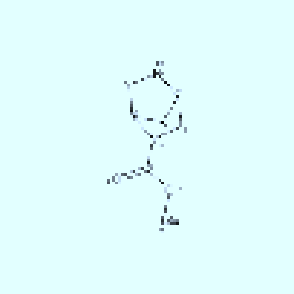 CC(C)(C)OC(=O)N1CC2CC1C[N]2